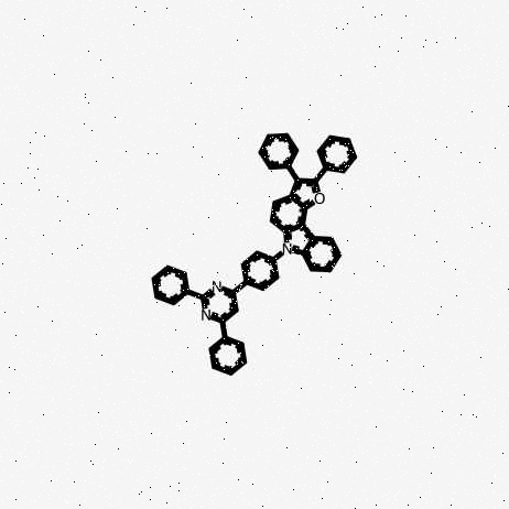 c1ccc(-c2cc(-c3ccc(-n4c5ccccc5c5c6oc(-c7ccccc7)c(-c7ccccc7)c6ccc54)cc3)nc(-c3ccccc3)n2)cc1